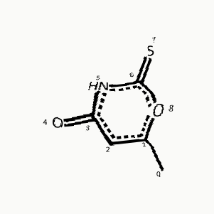 Cc1cc(=O)[nH]c(=S)o1